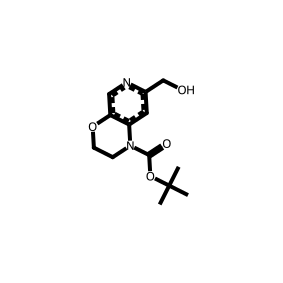 CC(C)(C)OC(=O)N1CCOc2cnc(CO)cc21